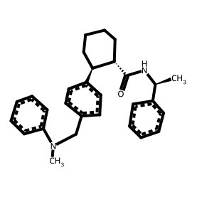 C[C@H](NC(=O)[C@H]1CCCC[C@@H]1c1ccc(CN(C)c2ccccc2)cc1)c1ccccc1